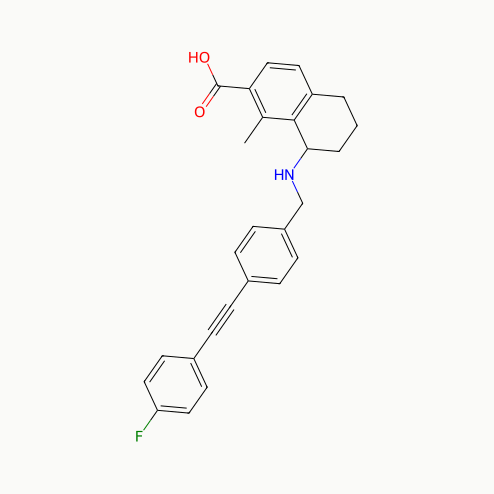 Cc1c(C(=O)O)ccc2c1C(NCc1ccc(C#Cc3ccc(F)cc3)cc1)CCC2